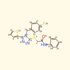 O=C(CSc1nnc(-c2cccs2)n1Cc1ccc(F)cc1)Nc1ccccc1